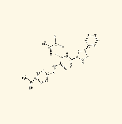 C[C@H](NC(=O)[C@H]1C[C@@H](c2ccncc2)CN1)C(=O)NCc1ccc(C(=N)N)cc1.O=C(O)C(F)F